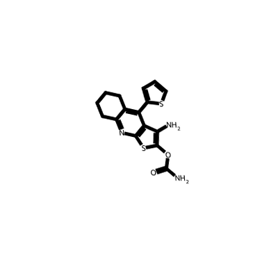 NC(=O)Oc1sc2nc3c(c(-c4cccs4)c2c1N)CCCC3